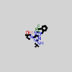 CC1(O)CCN(c2nc(NC(C)(C)C)nc3c2ncn3Cc2ccccc2C(F)(F)F)C1